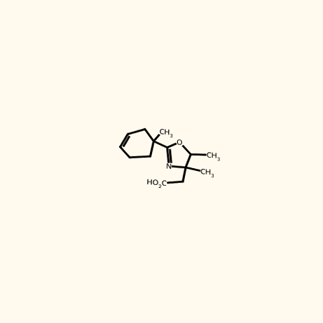 CC1OC(C2(C)CC=CCC2)=NC1(C)CC(=O)O